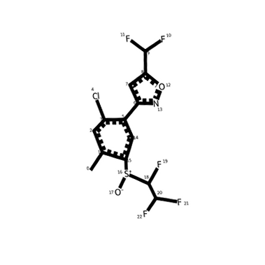 Cc1cc(Cl)c(-c2cc(C(F)F)on2)cc1[S+]([O-])C(F)C(F)F